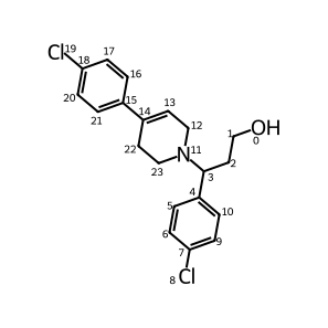 OCCC(c1ccc(Cl)cc1)N1CC=C(c2ccc(Cl)cc2)CC1